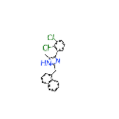 Cc1[nH]c(Cc2cccc3ccccc23)nc1-c1cccc(Cl)c1Cl